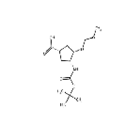 COCO[C@H]1C[C@@H](C(=O)O)C[C@H]1NC(=O)OC(C)(C)C